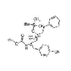 CC(C)(C)OC(=O)N[C@](Cc1ccc(C#N)cc1)(C[C@H](CCc1ccccc1)O[Si](C)(C)C(C)(C)C)C(=O)O